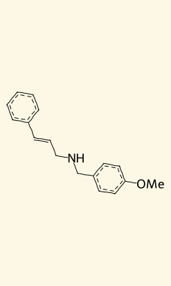 COc1ccc(CNCC=Cc2ccccc2)cc1